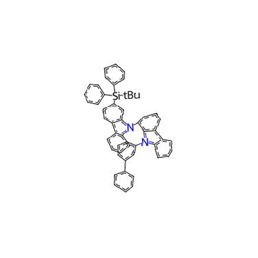 CC(C)(C)[Si](c1ccccc1)(c1ccccc1)c1ccc2c3ccccc3n(-c3cccc4c5ccccc5n(-c5cccc(-c6ccccc6)c5)c34)c2c1